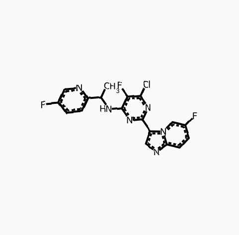 CC(Nc1nc(-c2cnc3ccc(F)cn23)nc(Cl)c1F)c1ccc(F)cn1